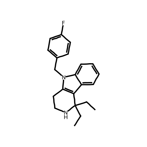 CCC1(CC)NCCc2c1c1ccccc1n2Cc1ccc(F)cc1